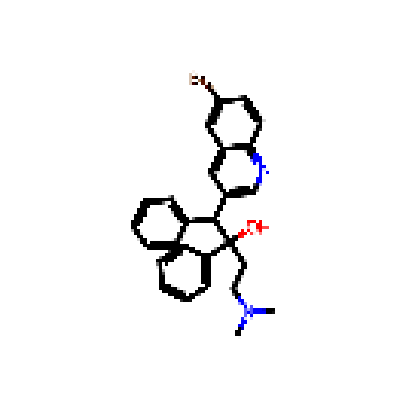 CN(C)CCC(O)(c1ccccc1)C(c1ccccc1)c1cnc2ccc(Br)cc2c1